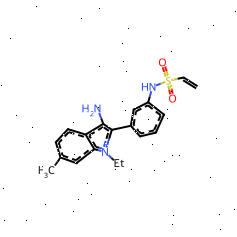 C=CS(=O)(=O)Nc1cccc(-c2c(N)c3ccc(C(F)(F)F)cc3n2CC)c1